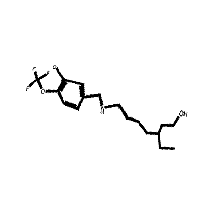 CCC(CCO)CCCCNCc1ccc(OC(F)(F)F)c(Cl)c1